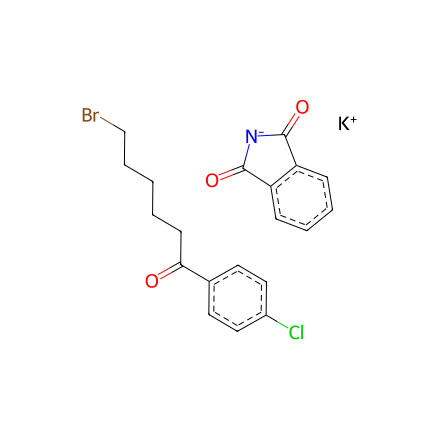 O=C(CCCCCBr)c1ccc(Cl)cc1.O=C1[N-]C(=O)c2ccccc21.[K+]